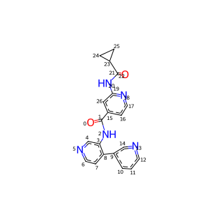 O=C(Nc1cnccc1-c1cccnc1)c1ccnc(NC(=O)C2CC2)c1